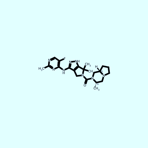 Cc1ncc(F)c(Nc2n[nH]c3c2CN(C(=O)N2C[C@@H]4CCCN4C[C@@H]2C)C3(C)C)n1